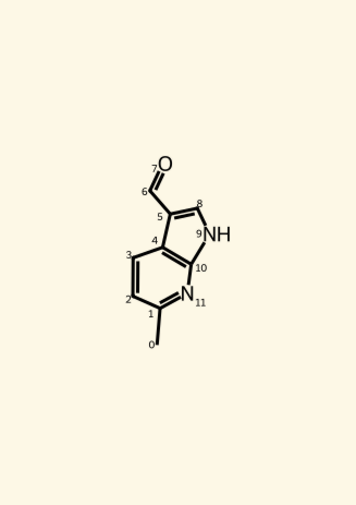 Cc1ccc2c(C=O)c[nH]c2n1